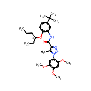 CCC[C@H](CC)Oc1ccc(C(C)(C)C)cc1NC(=O)c1nnn(-c2cc(OC)c(OC)cc2OC)c1C